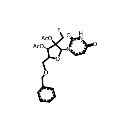 CC(=O)O[C@H]1C(COCc2ccccc2)O[C@H](n2ccc(=O)[nH]c2=O)C1(CF)OC(C)=O